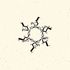 C=CC[Si]1(C(C)C)O[Si](CC=C)(C(C)C)O[Si](CC=C)(C(C)C)O[Si](CC=C)(C(C)C)O[Si](CC=C)(C(C)C)O[Si](CC=C)(C(C)C)O1